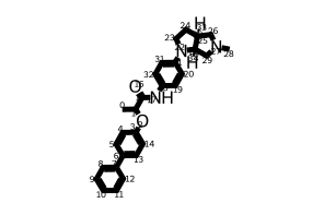 CC(Oc1ccc(-c2ccccc2)cc1)C(=O)Nc1ccc(N2CC[C@H]3CN(C)C[C@H]32)cc1